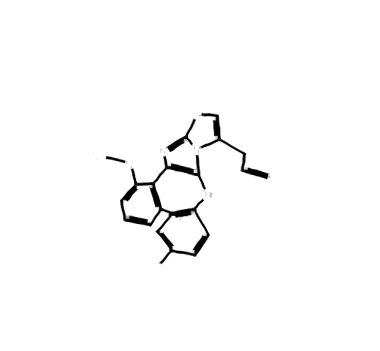 COc1cccc(F)c1-c1nc2scc(CC=O)n2c1Nc1ccc(F)cc1